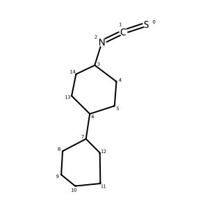 S=C=NC1CCC(C2CCCCC2)CC1